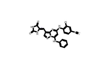 [C-]#[N+]c1ccc(Nc2cc(Nc3ccccc3)n3ncc(/C=C4\NC(=O)NC4=O)c3n2)c(Cl)c1